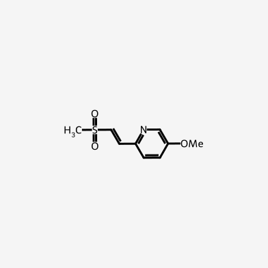 COc1ccc(C=CS(C)(=O)=O)nc1